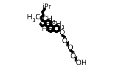 CC(C)CCC[C@@H](C)[C@H]1CC[C@H]2[C@@H]3CC=C4C[C@@H](OCCOCCOCCOCCO)CC[C@]4(C)[C@H]3CC[C@]12C